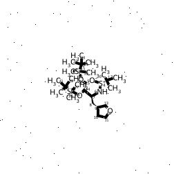 CC(C)(C)[S+]([O-])N[C@@H](C[C@H]1CCOC1)[C@@H](CO[Si](C)(C)C(C)(C)C)O[Si](C)(C)C(C)(C)C